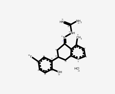 Cc1ccnc2c1/C(=N\NC(=N)N)CC(c1cc(F)ccc1O)C2.Cl